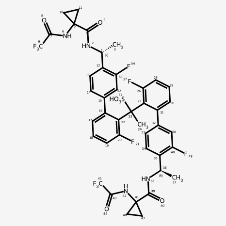 C[C@@H](NC(=O)C1(NC(=O)C(F)(F)F)CC1)c1ccc(-c2cccc(F)c2C(C)(c2c(F)cccc2-c2ccc([C@@H](C)NC(=O)C3(NC(=O)C(F)(F)F)CC3)c(F)c2)S(=O)(=O)O)cc1F